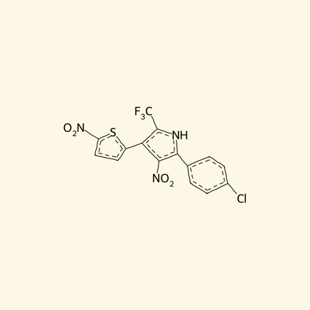 O=[N+]([O-])c1ccc(-c2c(C(F)(F)F)[nH]c(-c3ccc(Cl)cc3)c2[N+](=O)[O-])s1